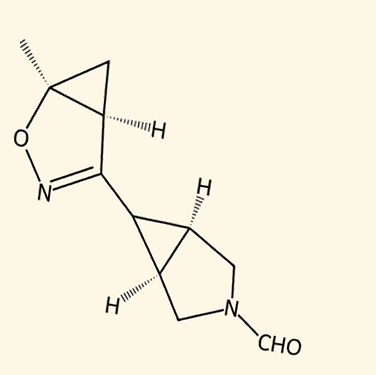 C[C@]12C[C@H]1C(C1[C@H]3CN(C=O)C[C@@H]13)=NO2